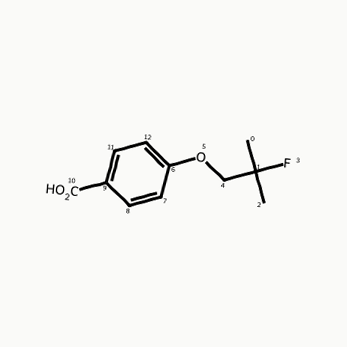 CC(C)(F)COc1ccc(C(=O)O)cc1